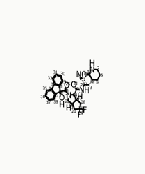 N#C[C@H](C[C@H]1CCCNC1=O)NC(=O)[C@H]1[C@H]2CC(F)(F)C[C@H]2CN1C(=O)C1(O)c2ccccc2-c2ccccc21